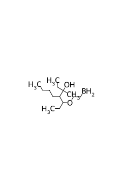 BCCOC(CC)C(CCCC)C(C)(O)CC